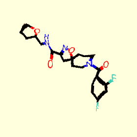 O=C(NCC1CCCO1)C1=NOC2(CCN(C(=O)c3ccc(F)cc3F)CC2)C1